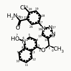 C[C@@H](Oc1cc[n+](O)c2ccccc12)c1cn(-c2ccc(Cl)c(C(N)=O)c2)nn1